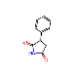 O=C1C[C@H](c2ccccc2)C(=O)N1